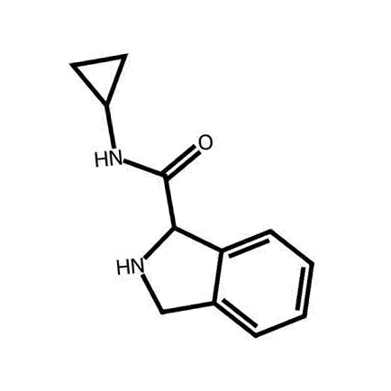 O=C(NC1CC1)C1NCc2ccccc21